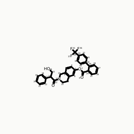 O=C(Oc1ccc2c(c1)CCN(C(=O)C(CO)c1ccccc1)C2)c1ccccc1-c1ccc(C(F)(F)F)cc1